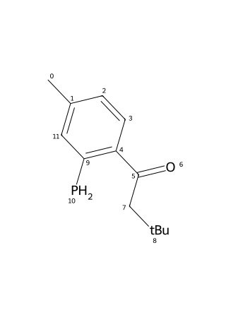 Cc1ccc(C(=O)CC(C)(C)C)c(P)c1